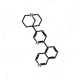 c1cc(-c2ccc(C34CCCN(CCC3)C4)cn2)c2ccncc2c1